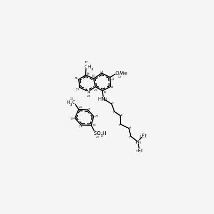 CCN(CC)CCCCCCNc1cc(OC)cc2c(C)ccnc12.Cc1ccc(S(=O)(=O)O)cc1